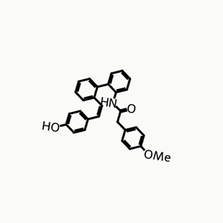 COc1ccc(CC(=O)Nc2ccccc2-c2ccccc2C=Cc2ccc(O)cc2)cc1